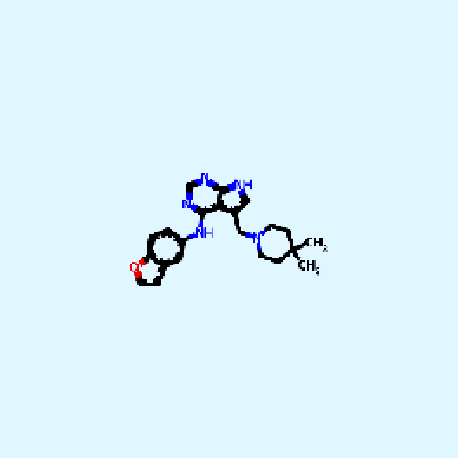 CC1(C)CCN(Cc2c[nH]c3ncnc(Nc4ccc5occc5c4)c23)CC1